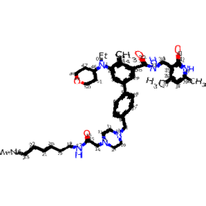 CCN(c1cc(-c2ccc(CN3CCN(CC(=O)NCCCCCCNC)CC3)cc2)cc(C(=O)NCc2c(C)cc(C)[nH]c2=O)c1C)C1CCOCC1